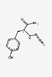 [N-]=[N+]=NN[C@@H](Cc1ccc(O)cc1)C(N)=O